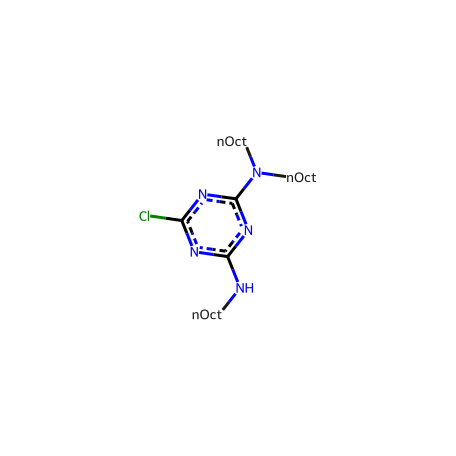 CCCCCCCCNc1nc(Cl)nc(N(CCCCCCCC)CCCCCCCC)n1